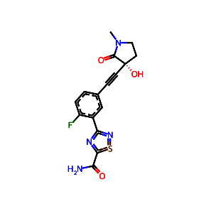 CN1CC[C@@](O)(C#Cc2ccc(F)c(-c3nsc(C(N)=O)n3)c2)C1=O